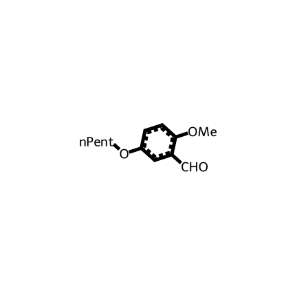 CCCCCOc1ccc(OC)c(C=O)c1